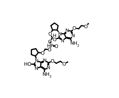 COCCOc1nc(N)c2nc(O)n(C3CCCC3OCO[PH](=O)OCOC3CCCC3n3c(O)nc4c(N)nc(OCCOC)nc43)c2n1